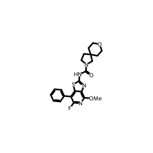 COc1nc(F)c(-c2ccccc2)c2sc(NC(=O)N3CCC4(CCOCC4)C3)nc12